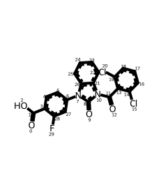 O=C(O)c1ccc(-n2c(=O)n(C(=O)c3c(Cl)cccc3Cl)c3ccccc32)cc1F